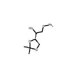 CC1(C)OC[C@H](C(O)COP)O1